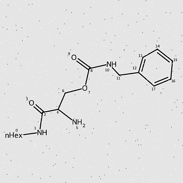 CCCCCCNC(=O)C(N)COC(=O)NCc1ccccc1